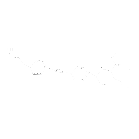 C=CNC(NC(CC)c1ccc(C#Cc2ccc(CCCC)cc2)cc1)C(=C)NC